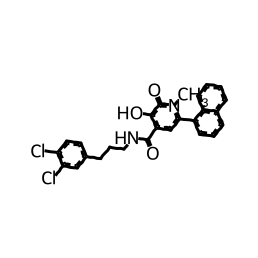 Cn1c(-c2cccc3ccccc23)cc(C(=O)NCCCc2ccc(Cl)c(Cl)c2)c(O)c1=O